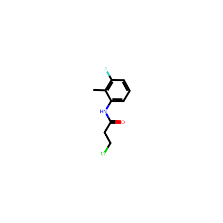 Cc1c(F)cccc1NC(=O)CCCl